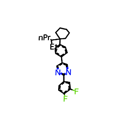 CCCC(CC)C1(c2ccc(-c3cnc(-c4ccc(F)c(F)c4)nc3)cc2)CCCCC1